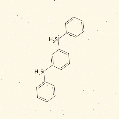 c1ccc([SiH2]c2cccc([SiH2]c3ccccc3)c2)cc1